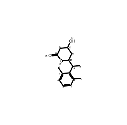 Cc1cccc(C)c1C(C)C1CC(O)CC(=O)O1